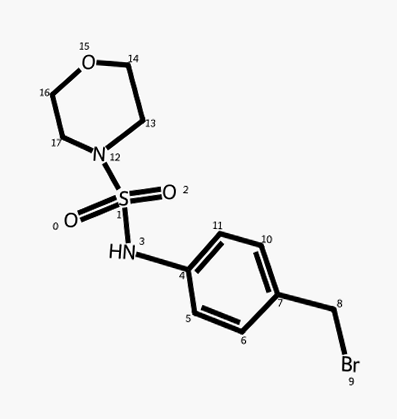 O=S(=O)(Nc1ccc(CBr)cc1)N1CCOCC1